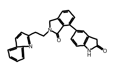 O=C1Cc2cc(-c3cccc4c3C(=O)N(CCc3ccc5ccccc5n3)C4)ccc2N1